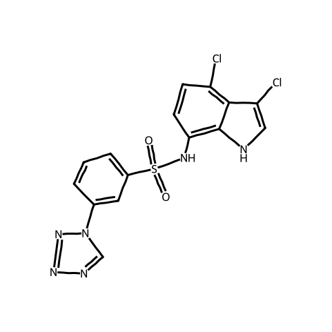 O=S(=O)(Nc1ccc(Cl)c2c(Cl)c[nH]c12)c1cccc(-n2cnnn2)c1